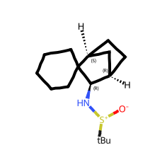 CC(C)(C)[S+]([O-])N[C@@H]1[C@@H]2CC[C@@H](C2)C12CCCCC2